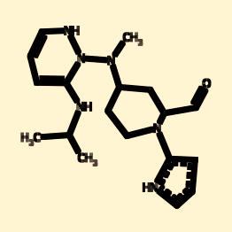 CC(C)NC1=CC=CNN1N(C)C1CCN(c2ccc[nH]2)C(C=O)C1